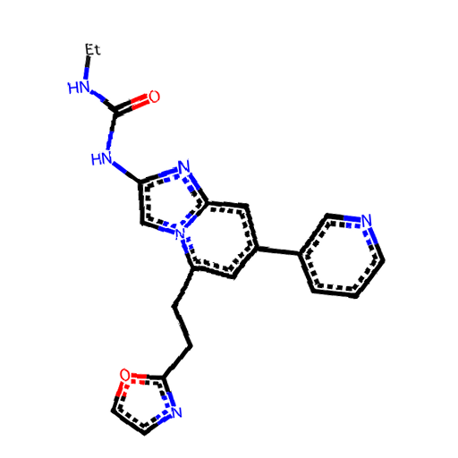 CCNC(=O)Nc1cn2c(CCc3ncco3)cc(-c3cccnc3)cc2n1